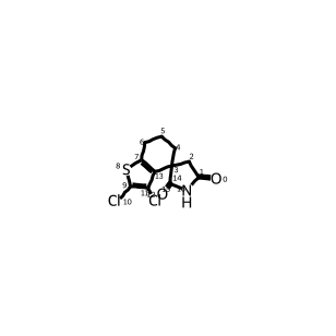 O=C1CC2(CCCc3sc(Cl)c(Cl)c32)C(=O)N1